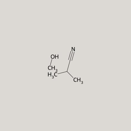 CC(C)C#N.CO